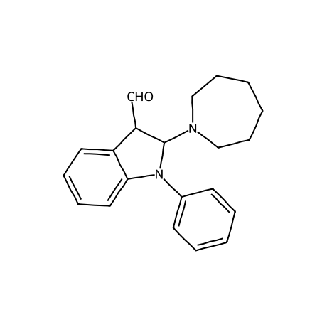 O=CC1c2ccccc2N(c2ccccc2)C1N1CCCCCC1